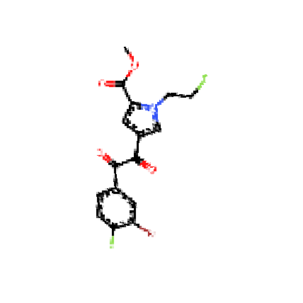 COC(=O)c1cc(C(=O)C(=O)c2ccc(F)c(Br)c2)cn1CCF